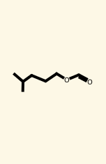 CC(C)CC[CH]OC=O